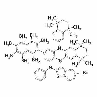 Bc1c(B)c(B)c2c(B)c(-c3cc4c5c(c3)N(c3ccccc3)c3sc6ccc(C(C)(C)C)cc6c3B5c3cc5c(cc3N4c3ccc4c(c3)C(C)(C)CCC4(C)C)C(C)(C)CCC5(C)C)c(B)c(B)c2c1B